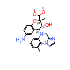 COC(OC)[C@@]1(C)Oc2ccc(N)cc2[C@@H](N(Cc2ncc[nH]2)c2cccc(C)c2C)[C@@H]1O